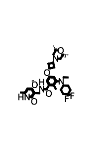 CCN(c1cc(OC2CC(N3C[C@@H](C)O[C@@H](C)C3)C2)cc(C(=O)NCc2c(OC)cc(C)[nH]c2=O)c1C)C1CCC(F)(F)CC1